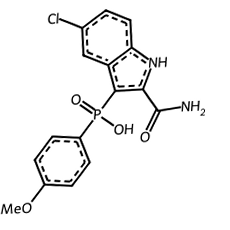 COc1ccc(P(=O)(O)c2c(C(N)=O)[nH]c3ccc(Cl)cc23)cc1